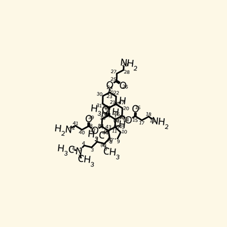 C[C@H](CCCN(C)C)[C@H]1CC[C@H]2[C@@H]3[C@H](OC(=O)CCN)C[C@@H]4C[C@H](OC(=O)CCN)CC[C@]4(C)[C@H]3C[C@H](OC(=O)CCN)[C@]12C